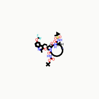 Cc1nc2ccc(OC(F)F)cc2c2c1O[C@]1(CC2)C[C@H]2C(=O)N[C@]3(C(=O)NS(=O)(=O)C4(C)CC4)C[C@H]3/C=C\CCCCC[C@H](NC(=O)OCC(C)(C)C)C(=O)N2C1